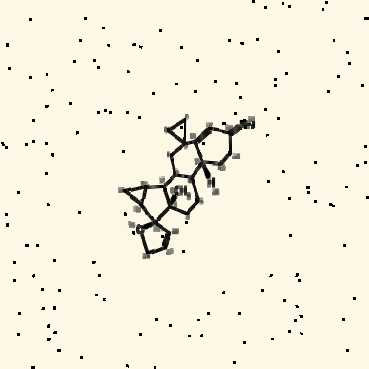 C[C@]12CCC3C(CC4(CC4)C4=CC(=N)CC[C@@H]43)C1C1CC1[C@@]21C=CCO1